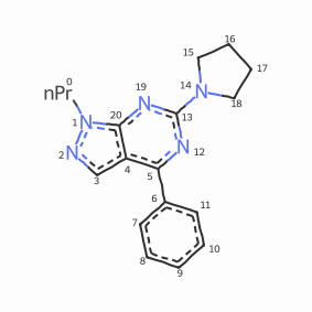 CCCn1ncc2c(-c3ccccc3)nc(N3CCCC3)nc21